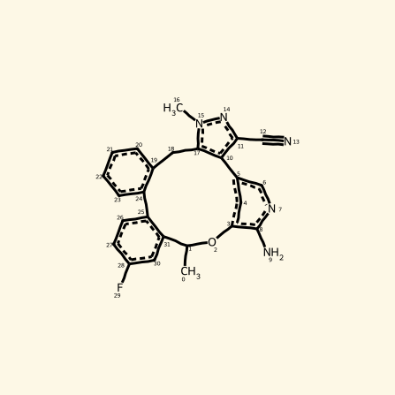 CC1Oc2cc(cnc2N)-c2c(C#N)nn(C)c2Cc2ccccc2-c2ccc(F)cc21